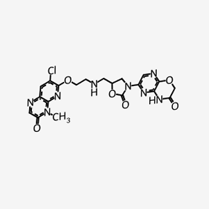 Cn1c(=O)cnc2cc(Cl)c(OCCNCC3CN(c4cnc5c(n4)NC(=O)CO5)C(=O)O3)nc21